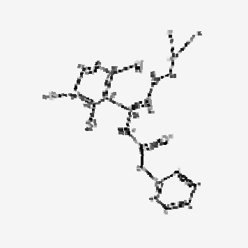 O=C(Cc1ccccc1)NC(=NOCC1CC1)c1c(Cl)ccc(F)c1Cl